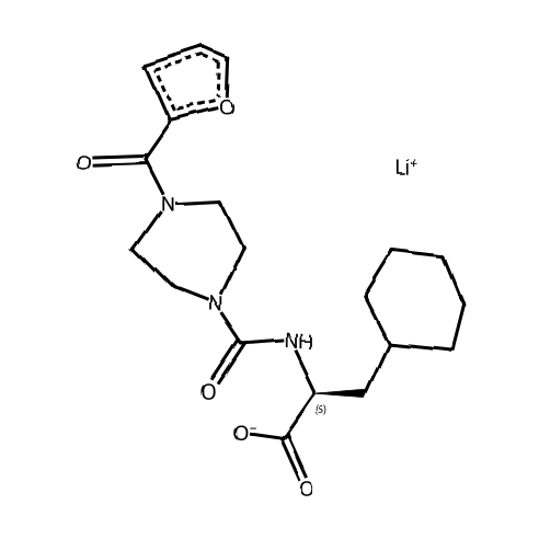 O=C([O-])[C@H](CC1CCCCC1)NC(=O)N1CCN(C(=O)c2ccco2)CC1.[Li+]